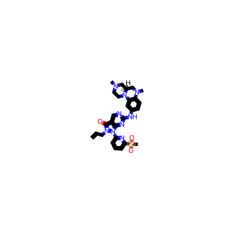 C=CCn1c(=O)c2cnc(Nc3ccc4c(c3)N3CCN(C)C[C@H]3CN4C)nc2n1-c1cccc(S(C)(=O)=O)n1